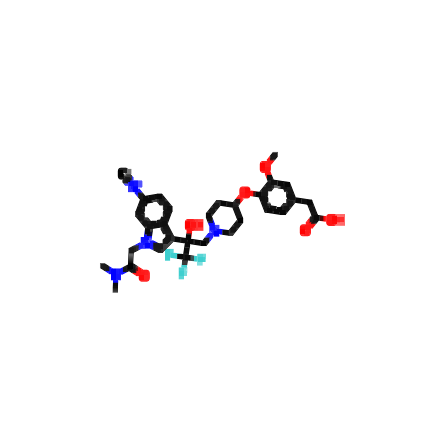 [C-]#[N+]c1ccc2c(C(O)(CN3CCC(Oc4ccc(CC(=O)O)cc4OC)CC3)C(F)(F)F)cn(CC(=O)N(C)C)c2c1